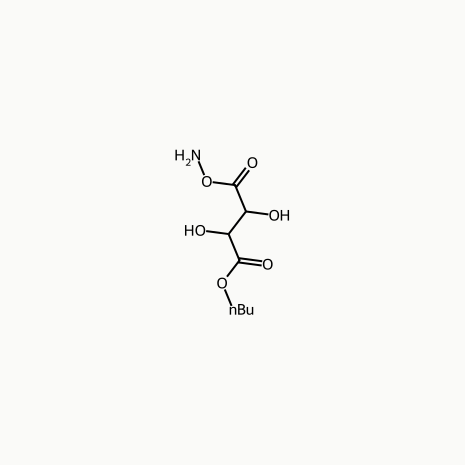 CCCCOC(=O)C(O)C(O)C(=O)ON